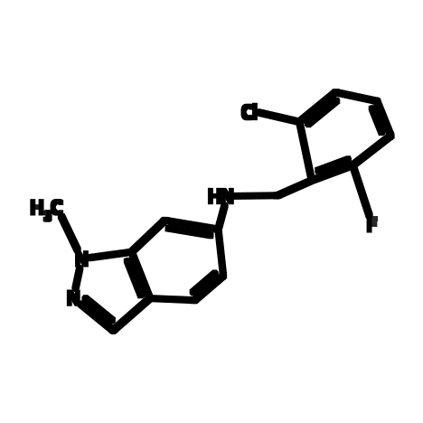 Cn1ncc2ccc(NCc3c(F)cccc3Cl)cc21